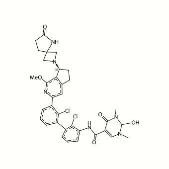 COc1nc(-c2cccc(-c3cccc(NC(=O)C4=CN(C)C(O)N(C)C4=O)c3Cl)c2Cl)cc2c1[C@@H](N1CC3(CCC(=O)N3)C1)CC2